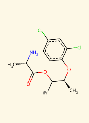 CC(C)C(OC(=O)[C@H](C)N)[C@H](C)Oc1ccc(Cl)cc1Cl